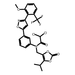 COc1cccc(C(F)(F)F)c1-c1cc(-c2cccc(N(Cc3oc(=O)oc3C(C)C)C(=O)C(Cl)Cl)c2)on1